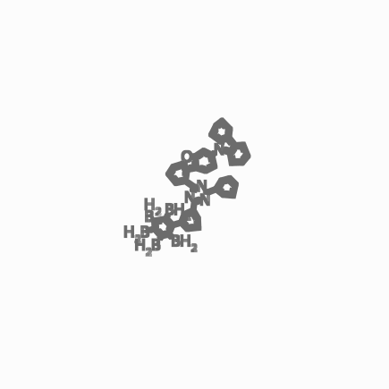 Bc1c(B)c(B)c(-c2cccc(-c3nc(-c4ccccc4)nc(-c4cccc5oc6cc(-n7c8ccccc8c8ccccc87)ccc6c45)n3)c2)c(B)c1B